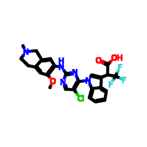 COc1cc2c(cc1Nc1ncc(Cl)c(-n3cc(C(C(=O)O)C(F)(F)F)c4ccccc43)n1)CN(C)CC2